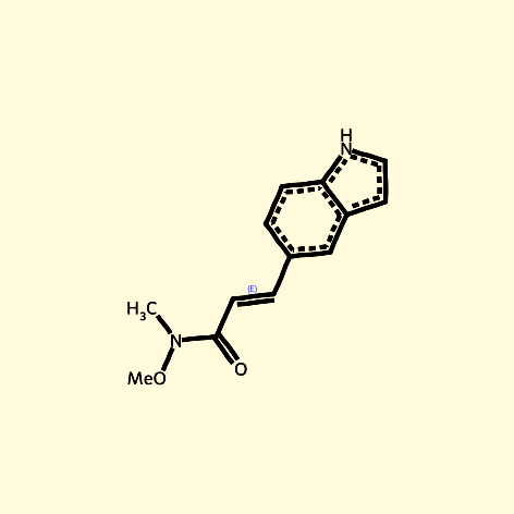 CON(C)C(=O)/C=C/c1ccc2[nH]ccc2c1